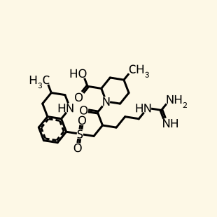 CC1CNc2c(cccc2S(=O)(=O)CC(CCCNC(=N)N)C(=O)N2CCC(C)CC2C(=O)O)C1